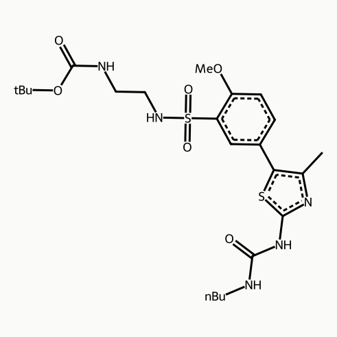 CCCCNC(=O)Nc1nc(C)c(-c2ccc(OC)c(S(=O)(=O)NCCNC(=O)OC(C)(C)C)c2)s1